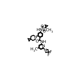 Cc1cc(NC(=O)c2ccc(NS(=O)(=O)C3(C)CC3)cc2N2CCC3(CC2)CC3)nc(N2CC(F)(F)C2)c1